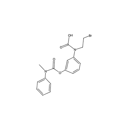 CN(C(=O)Oc1cccc(N(CCBr)C(=O)O)c1)c1ccccc1